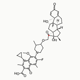 COc1c(N2CCC(OCC(=O)[C@@]3(O)[C@H](C)C[C@H]4[C@@H]5CCC6=CC(=O)C=C[C@]6(C)[C@@]5(F)[C@@H](O)C[C@@]43C)C(C)C2)c(F)c(C)c2c(=O)c(C(=O)O)c(C)n(C3CC3)c12